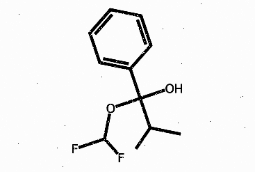 CC(C)C(O)(OC(F)F)c1ccccc1